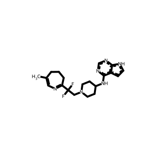 CC1=CN=C(C(F)(F)CN2CCC(Nc3ncnc4[nH]ccc34)CC2)CCC1